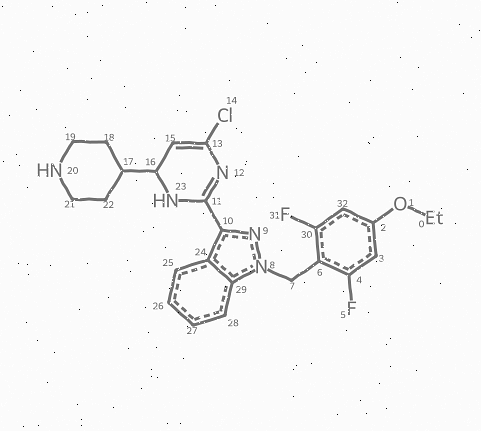 CCOc1cc(F)c(Cn2nc(C3=NC(Cl)=CC(C4CCNCC4)N3)c3ccccc32)c(F)c1